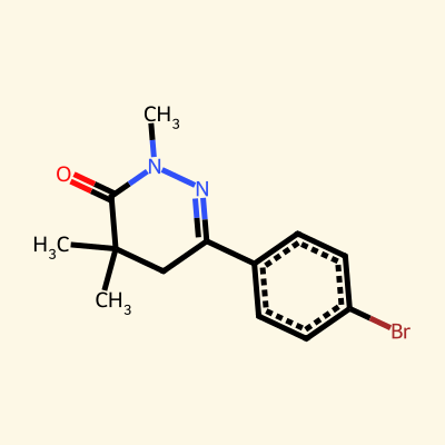 CN1N=C(c2ccc(Br)cc2)CC(C)(C)C1=O